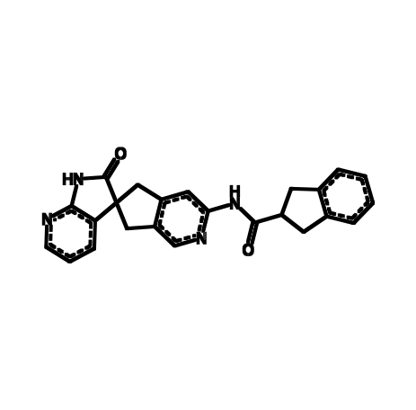 O=C(Nc1cc2c(cn1)CC1(C2)C(=O)Nc2ncccc21)C1Cc2ccccc2C1